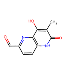 Cc1c(O)c2nc(C=O)ccc2[nH]c1=O